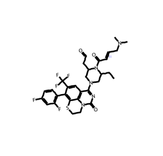 CCC1CN(c2nc(=O)n3c4c(c(-c5ccc(F)cc5F)c(C(F)(F)F)cc24)SCC3)CC(CC=O)N1C(=O)/C=C/CN(C)C